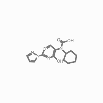 O=C(O)N(c1cnc(-n2cccn2)nc1O)C1CCCCC1